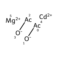 CC(=O)[O-].CC(=O)[O-].[Cd+2].[Mg+2]